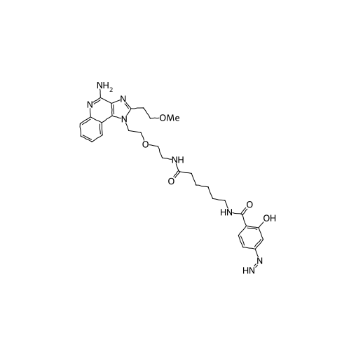 COCCc1nc2c(N)nc3ccccc3c2n1CCOCCNC(=O)CCCCCNC(=O)c1ccc(N=N)cc1O